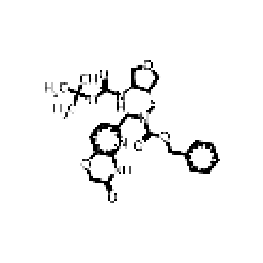 CC(C)(C)OC(=O)N[C@H]1COC[C@@H]1CN(Cc1ccc2c(n1)NC(=O)CO2)C(=O)OCc1ccccc1